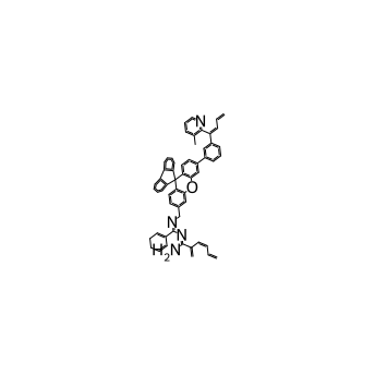 C=C/C=C\C(=C)/C(N)=N/C(=N\Cc1ccc2c(c1)Oc1cc(-c3cccc(/C(=C/C=C)c4ncccc4C)c3)ccc1C21c2ccccc2-c2ccccc21)C1=CCCC=C1